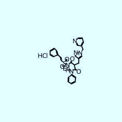 CCN(C(=O)C(Cc1cnn(Cc2cccnc2)c1)C(=O)NS(=O)(=O)C=Cc1ccccc1)c1ccccc1.Cl